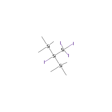 C[Si](C)(C)[Si](I)([Si](C)(C)C)[Si](I)(I)I